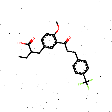 CCC(Cc1ccc(OC)c(C(=O)CCc2ccc(C(F)(F)F)cc2)c1)C(=O)O